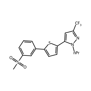 CCCn1nc(C(F)(F)F)cc1-c1ccc(-c2cccc(S(C)(=O)=O)c2)s1